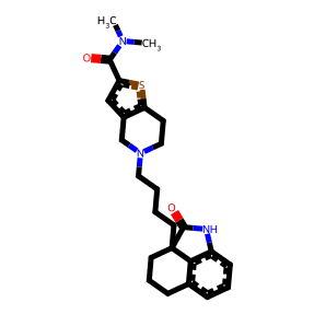 CN(C)C(=O)c1cc2c(s1)CCN(CCCCC13CCCc4cccc(c41)NC3=O)C2